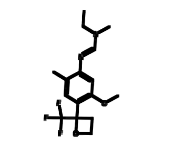 CCN(C)C=Nc1cc(OC)c(C2(C(F)(F)F)CCO2)cc1C